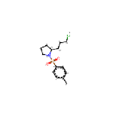 Cc1ccc(S(=O)(=O)N2CCC[C@H]2CCCCl)cc1